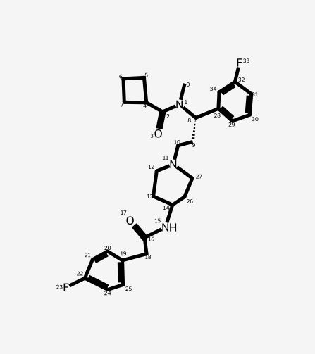 CN(C(=O)C1CCC1)[C@@H](CCN1CCC(NC(=O)Cc2ccc(F)cc2)CC1)c1cccc(F)c1